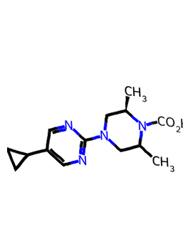 CC1CN(c2ncc(C3CC3)cn2)C[C@@H](C)N1C(=O)O